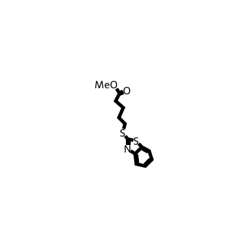 COC(=O)CCCCSc1nc2ccccc2s1